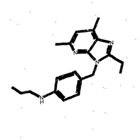 CCCNc1ccc(Cn2c(CC)nc3c(C)cc(C)nc32)cc1